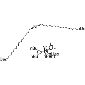 CCCCCCC1=C(c2cc(C)cc(C)c2)[N+](=[N-])C(c2cc(CCCC)cc(CCCC)c2)=C1CCCCC.CCCCCCCCCCCCCCCCCCCCCCCCCCCCC#[C][Ni][C]#CCCCCCCCCCCCCCCCCCCCCCCCCCCCC